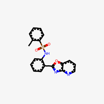 Cc1ccccc1S(=O)(=O)Nc1ccccc1-c1nc2ncccc2o1